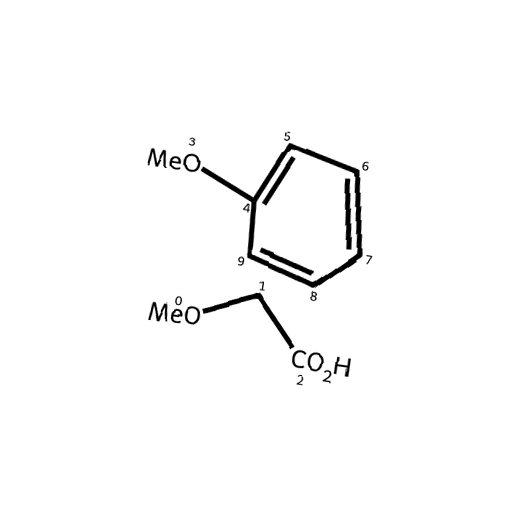 COCC(=O)O.COc1ccccc1